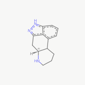 c1cc2c3c(n[nH]c3c1)C[C@H]1NCCCC21